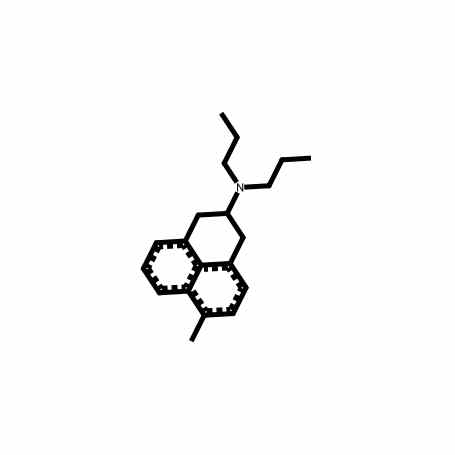 CCCN(CCC)C1Cc2cccc3c(C)ccc(c23)C1